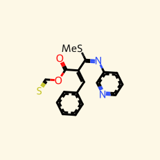 CSC(=Nc1cccnc1)C(=Cc1ccccc1)C(=O)OC=S